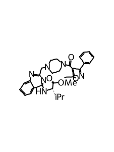 COC(=O)[C@@H](Nc1nc(CN2CCN(C(=O)c3c(-c4ccccc4)noc3C)CC2)nc2ccccc12)C(C)C